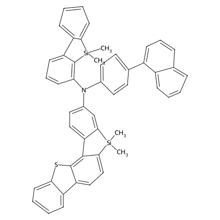 C[Si]1(C)c2cc(N(c3ccc(-c4cccc5ccccc45)cc3)c3cccc4c3[Si](C)(C)c3ccccc3-4)ccc2-c2c1ccc1c2sc2ccccc21